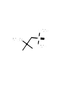 CNC(C)(C)CP(=O)(OC)OC